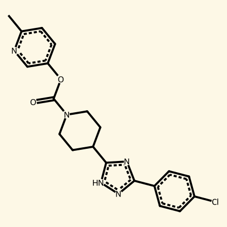 Cc1ccc(OC(=O)N2CCC(c3nc(-c4ccc(Cl)cc4)n[nH]3)CC2)cn1